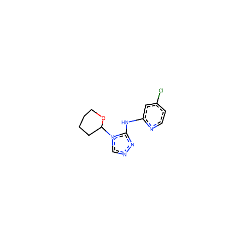 Clc1ccnc(Nc2nncn2C2CCCCO2)c1